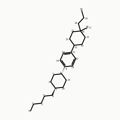 CCCCC[C@H]1CC[C@H](c2ccc(C3CCC(F)(CCC)CC3)cc2)CC1